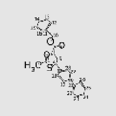 CC(=O)SC(CCC(=O)OCc1ccccc1)c1ccc(-c2ccccc2)cc1